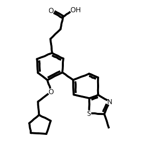 Cc1nc2ccc(-c3cc(CCC(=O)O)ccc3OCC3CCCC3)cc2s1